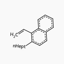 C=Cc1c(CCCCCCC)ccc2ccccc12